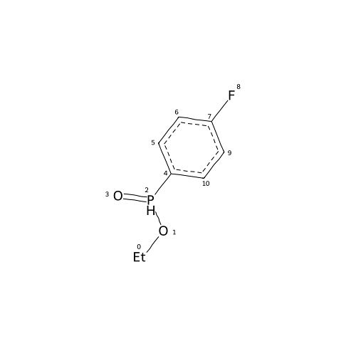 CCO[PH](=O)c1ccc(F)cc1